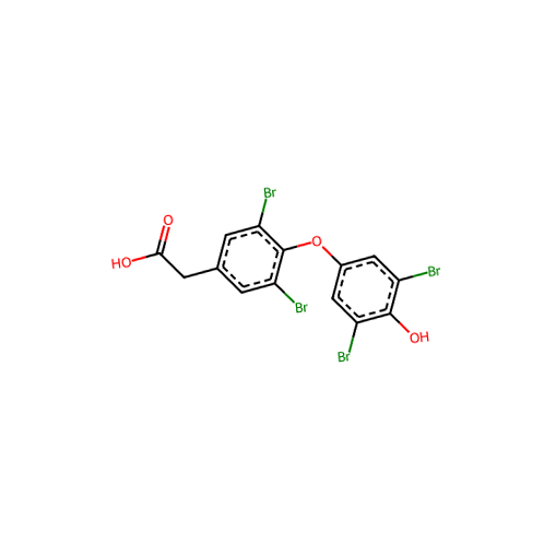 O=C(O)Cc1cc(Br)c(Oc2cc(Br)c(O)c(Br)c2)c(Br)c1